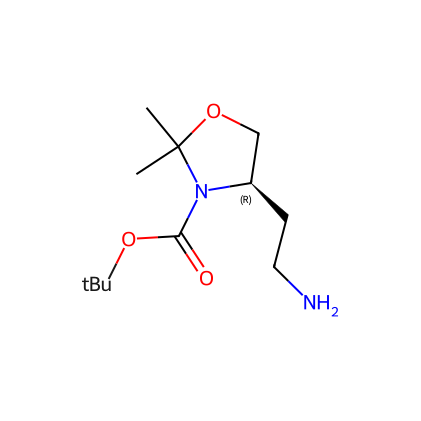 CC(C)(C)OC(=O)N1[C@H](CCN)COC1(C)C